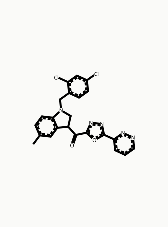 Cc1ccc2c(c1)C(C(=O)c1nnc(-c3cccnn3)o1)CN2Cc1ccc(Cl)cc1Cl